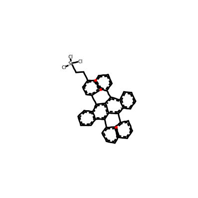 Cl[Si](Cl)(Cl)CCc1ccc(-c2c3ccccc3c(-c3ccccc3)c3c(-c4ccccc4)c4ccccc4c(-c4ccccc4)c23)cc1